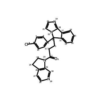 O=C(CCC1(c2ccc(Cl)cc2)c2ccccc2-c2nccn21)N1CCc2ccncc21